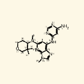 CN(c1cc(Nc2cc(N)ncn2)c2ncn(C)c2n1)C1CCOCC1(C)C